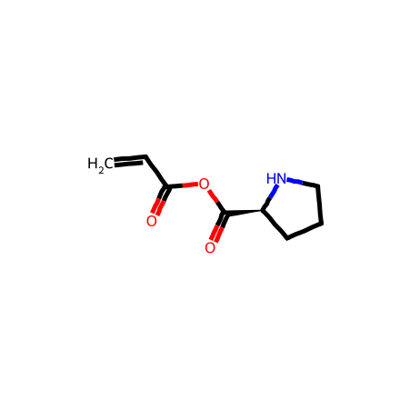 C=CC(=O)OC(=O)[C@@H]1CCCN1